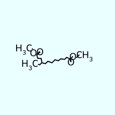 CCOC(=O)CCCCCCCCC(CC)CCC(=O)OCC